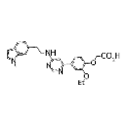 CCOc1cc(-c2cc(NCCc3ccc4ccn(C)c4c3)ncn2)ccc1OCC(=O)O